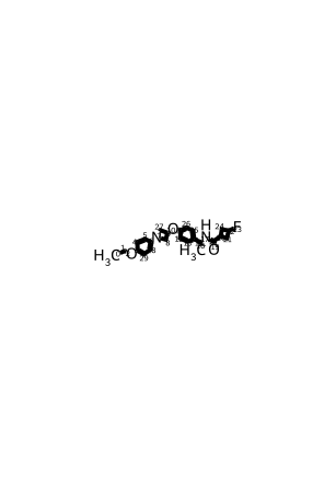 CCOc1ccc(N2CC(Oc3ccc([C@H](C)NC(=O)C4CC(F)C4)cc3)C2)cc1